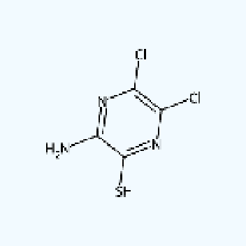 Nc1nc(Cl)c(Cl)nc1S